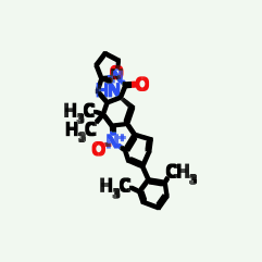 Cc1cccc(C)c1-c1ccc2c(c1)[N+]([O-])=C1C2=C[C@@]23NC(=O)C4(CCCN4C2=O)CC3C1(C)C